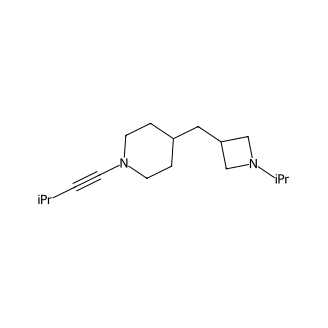 CC(C)C#CN1CCC(CC2CN(C(C)C)C2)CC1